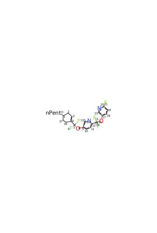 CCCCCC1CC=C(C(F)(F)Oc2ccc(C(F)(F)Oc3ccc(F)nc3)nc2)CC1